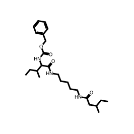 CCC(C)[CH]C(=O)NCCCCCNC(=O)C(NC(=O)OCc1ccccc1)C(C)CC